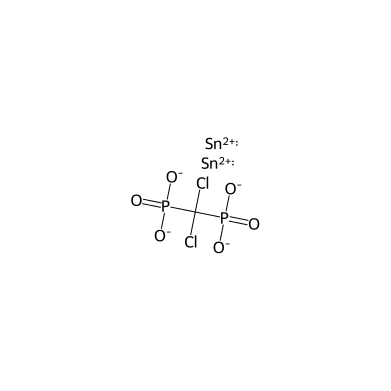 O=P([O-])([O-])C(Cl)(Cl)P(=O)([O-])[O-].[Sn+2].[Sn+2]